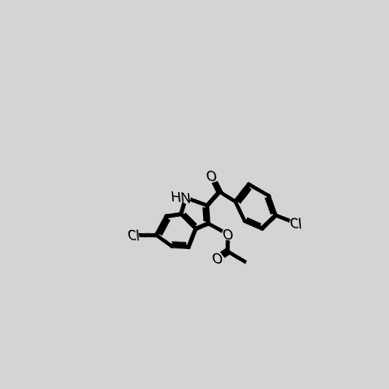 CC(=O)Oc1c(C(=O)c2ccc(Cl)cc2)[nH]c2cc(Cl)ccc12